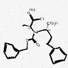 CCOC(=O)[C@H](CCc1ccccc1)N(C(=O)OCc1ccccc1)[C@@H](C)C(=O)Cl.Cl